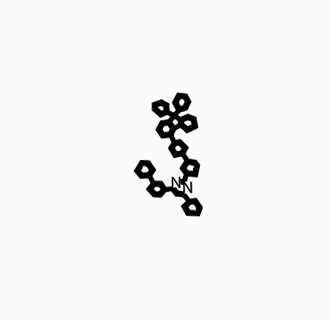 c1ccc(-c2cccc(-c3cc(-c4ccccc4)nc(-c4cccc(-c5ccc(-c6cccc7c6-c6ccccc6C7(c6ccccc6)c6ccccc6)cc5)c4)n3)c2)cc1